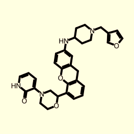 O=c1[nH]cccc1N1CCOC(c2cccc3c2Oc2ccc(NC4CCN(Cc5ccoc5)CC4)cc2C3)C1